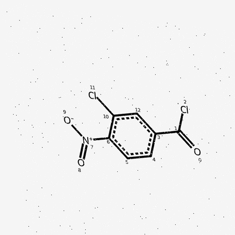 O=C(Cl)c1ccc([N+](=O)[O-])c(Cl)c1